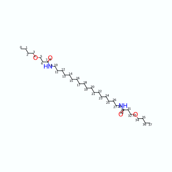 CCCCOCCC(=O)NCCCCCCCCCCCCCCCCCCNC(=O)CCOCCCC